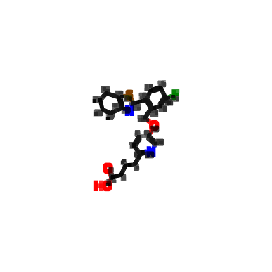 O=C(O)CCCc1ccc(OCc2cc(F)ccc2-c2nc3c(s2)CCCC3)cn1